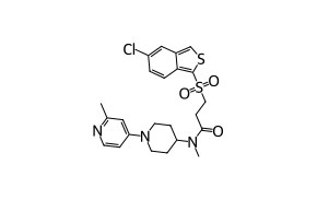 Cc1cc(N2CCC(N(C)C(=O)CCS(=O)(=O)c3scc4cc(Cl)ccc34)CC2)ccn1